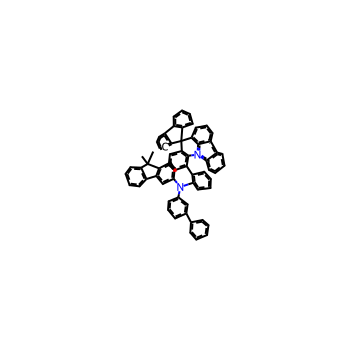 CC1(C)c2ccccc2-c2cc(N(c3cccc(-c4ccccc4)c3)c3ccccc3-c3cccc4c3-n3c5ccccc5c5cccc(c53)C43c4ccccc4-c4ccccc43)ccc21